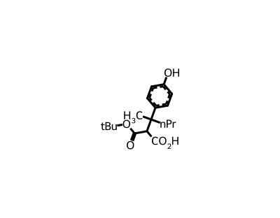 CCCC(C)(c1ccc(O)cc1)C(C(=O)O)C(=O)OC(C)(C)C